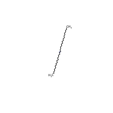 CCCCCCCCCCCCCCCC/C=[C]/CCCCCCCCCCCCCCCCCC